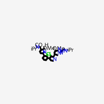 COc1nc(-c2cccc(-c3ccnc(-c4cc(OC)c5nc(CNC(C)C)nn5c4)c3Cl)c2Cl)ccc1CN(C(=O)O)C(C)C